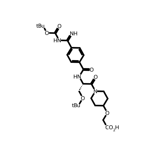 CC(C)(C)OC[C@H](NC(=O)c1ccc(C(=N)NC(=O)OC(C)(C)C)cc1)C(=O)N1CCC(OCC(=O)O)CC1